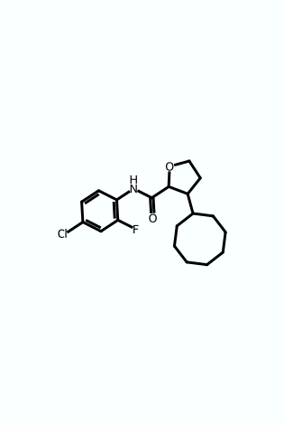 O=C(Nc1ccc(Cl)cc1F)C1OCCC1C1CCCCCCC1